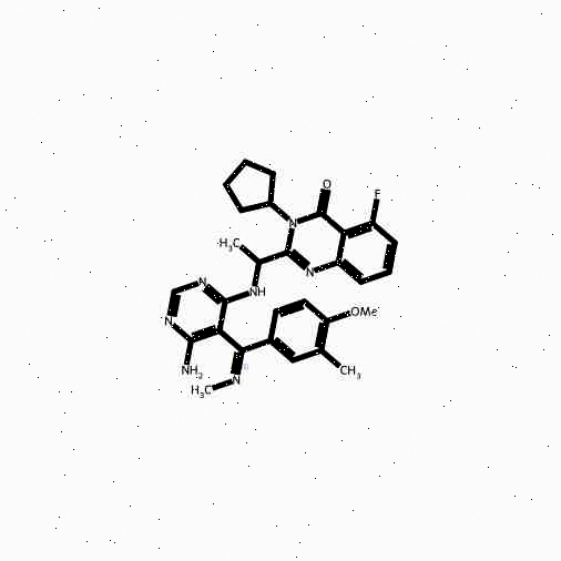 C/N=C(/c1ccc(OC)c(C)c1)c1c(N)ncnc1NC(C)c1nc2cccc(F)c2c(=O)n1C1CCCC1